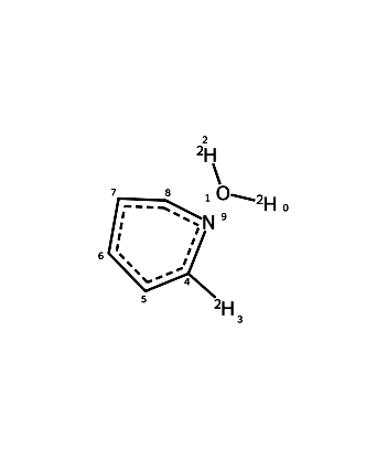 [2H]O[2H].[2H]c1ccccn1